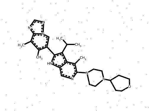 Cc1c(-c2[nH]c3cnc(N4CCN(C5CCOCC5)CC4)c(C)c3c2C(C)C)cn2ncnc2c1C